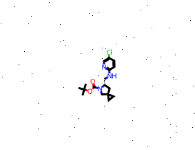 CC(C)(C)OC(=O)N1CC2(CC2)C[C@H]1CNc1ccc(Cl)cn1